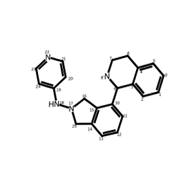 c1ccc2c(c1)CC[N]C2c1cccc2c1CN(Nc1ccncc1)C2